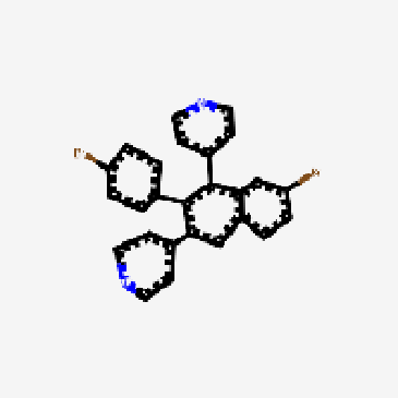 Brc1ccc(-c2c(-c3ccncc3)cc3ccc(Br)cc3c2-c2ccncc2)cc1